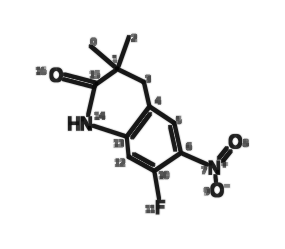 CC1(C)Cc2cc([N+](=O)[O-])c(F)cc2NC1=O